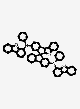 c1ccc(N(c2ccc3c(c2)C2(c4ccccc4-3)c3cc(N(c4ccccc4)c4cccc5c4oc4ccccc45)ccc3-c3c2oc2ccccc32)c2cccc3c2oc2ccccc23)cc1